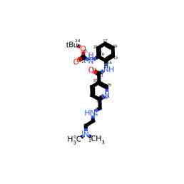 CN(C)CCNCc1ccc(C(=O)Nc2ccccc2NC(=O)OC(C)(C)C)cn1